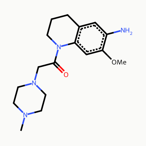 COc1cc2c(cc1N)CCCN2C(=O)CN1CCN(C)CC1